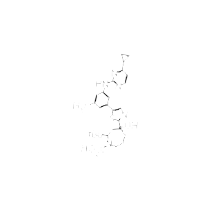 Cc1cc(Nc2nccc(C3CC3)n2)cc(-c2cnc([C@@]3(O)CCCN(C(=O)O)C(C(C)(C)C)C3)s2)c1